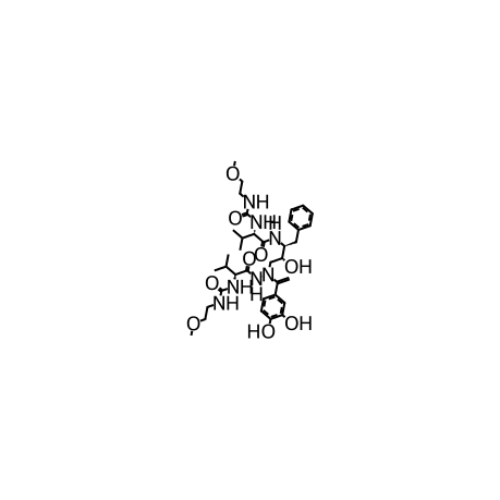 C=C(c1ccc(O)c(O)c1)N(C[C@H](O)[C@H](Cc1ccccc1)NC(=O)[C@@H](NC(=O)NCCOC)C(C)C)NC(=O)[C@@H](NC(=O)NCCOC)C(C)C